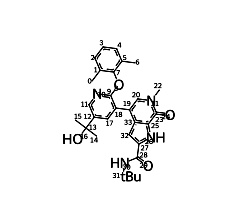 Cc1cccc(C)c1Oc1ncc(C(C)(C)O)cc1-c1cn(C)c(=O)c2[nH]c(C(=O)NC(C)(C)C)cc12